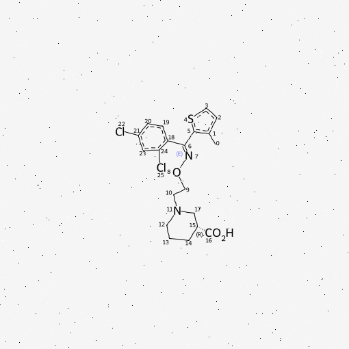 Cc1ccsc1/C(=N/OCCN1CCC[C@@H](C(=O)O)C1)c1ccc(Cl)cc1Cl